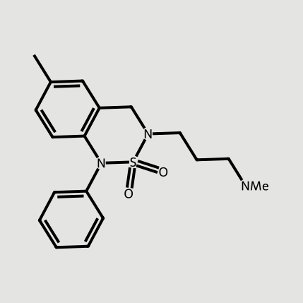 CNCCCN1Cc2cc(C)ccc2N(c2ccccc2)S1(=O)=O